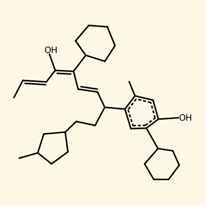 C/C=C/C(O)=C(\C=C\C(CCC1CCC(C)C1)c1cc(C2CCCCC2)c(O)cc1C)C1CCCCC1